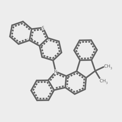 CC1(C)c2ccccc2-c2c1ccc1c3ccccc3n(-c3ccc4sc5ccccc5c4c3)c21